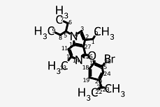 CCc1cn(C(CC)CC)c2cc(C)nc(Oc3ccc(C(C)C)cc3Br)c12